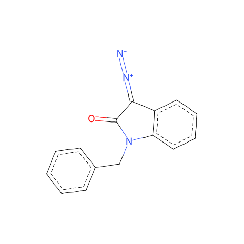 [N-]=[N+]=C1C(=O)N(Cc2ccccc2)c2ccccc21